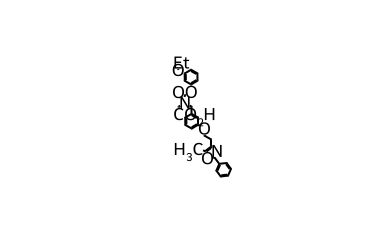 CCOc1cccc(OC(=O)N(CC(=O)O)Cc2cccc(OCCc3nc(-c4ccccc4)oc3C)c2)c1